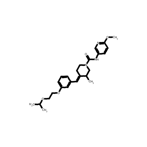 COc1ccc(NC(=O)N2CCC(=Cc3cccc(OCCOC(C)C)c3)C(C)C2)cn1